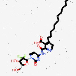 CCCCCCCCCCCCc1ccnc(C(=O)Nc2ccn([C@@H]3O[C@H](CO)[C@@H](O)C3(F)F)c(=O)n2)c1C(=O)O